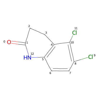 O=C1CCc2c(ccc(Cl)c2Cl)N1